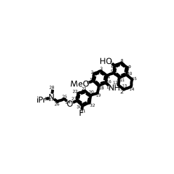 COc1ccc(-c2c(O)ccc3c2CCCC3)c(N)c1Cc1ccc(OCCN(C)C(C)C)c(F)c1